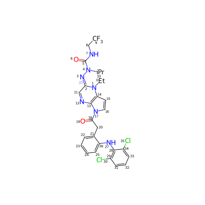 CCn1/c(=N\N(C(=O)NCC(F)(F)F)C(C)C)cnc2c1ccn2C(=O)Cc1ccccc1Nc1c(Cl)cccc1Cl